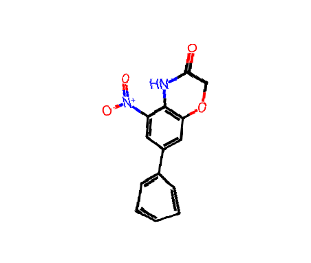 O=C1COc2cc(-c3ccccc3)cc([N+](=O)[O-])c2N1